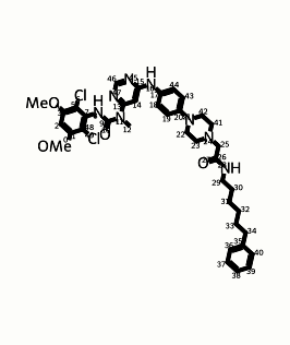 COc1cc(OC)c(Cl)c(NC(=O)N(C)c2cc(Nc3ccc(N4CCN(CC(=O)NCCCCCCc5ccccc5)CC4)cc3)ncn2)c1Cl